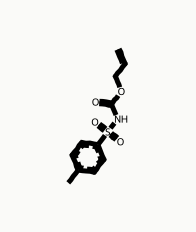 C=CCOC(=O)NS(=O)(=O)c1ccc(C)cc1